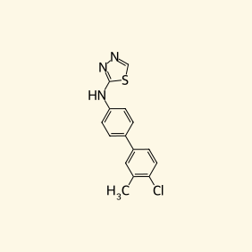 Cc1cc(-c2ccc(Nc3nncs3)cc2)ccc1Cl